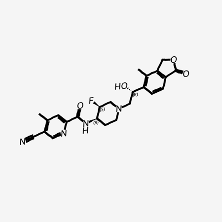 Cc1cc(C(=O)N[C@@H]2CCN(C[C@H](O)c3ccc4c(c3C)COC4=O)C[C@@H]2F)ncc1C#N